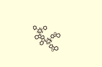 c1ccc(-c2nc(-c3ccccc3)nc(-n3c4ccccc4c4c5c6ccccc6n(-c6nc(-c7ccc8oc9ccccc9c8c7)nc(-c7ccc8oc9ccccc9c8c7)n6)c5ccc43)n2)cc1